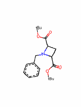 CC(C)(C)OC(=O)C1CC(C(=O)OC(C)(C)C)N1Cc1ccccc1